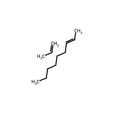 C=CC.CC=CCCCCCC